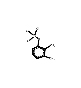 Cc1cccc([O][Zr]([Cl])([Cl])[Cl])c1C